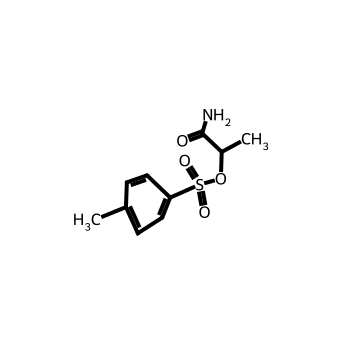 Cc1ccc(S(=O)(=O)OC(C)C(N)=O)cc1